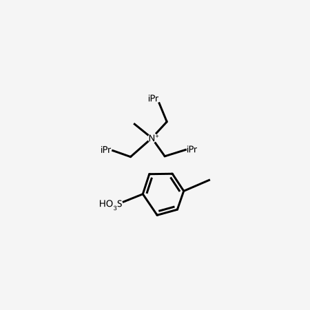 CC(C)C[N+](C)(CC(C)C)CC(C)C.Cc1ccc(S(=O)(=O)O)cc1